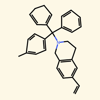 C=Cc1ccc2c(c1)CCN(C(C1=CCCC=C1)(c1ccccc1)c1ccc(C)cc1)C2